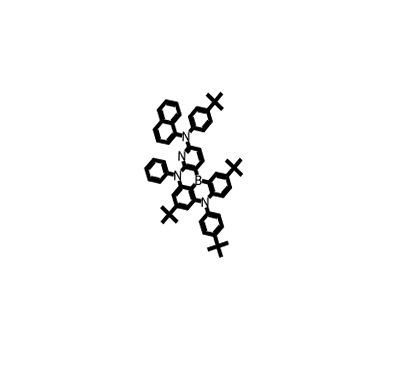 CC(C)(C)c1ccc(N2c3ccc(C(C)(C)C)cc3B3c4ccc(N(c5ccc(C(C)(C)C)cc5)c5cccc6ccccc56)nc4N(c4ccccc4)c4cc(C(C)(C)C)cc2c43)cc1